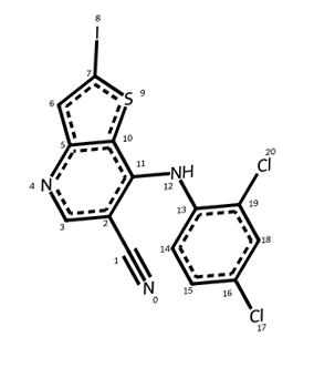 N#Cc1cnc2cc(I)sc2c1Nc1ccc(Cl)cc1Cl